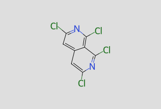 Clc1cc2cc(Cl)nc(Cl)c2c(Cl)n1